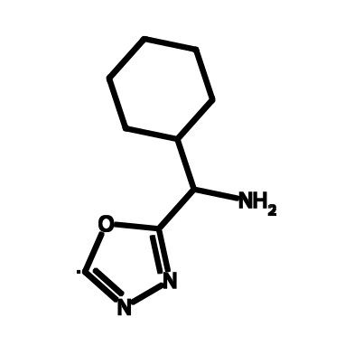 NC(c1nn[c]o1)C1CCCCC1